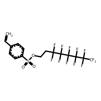 C=Cc1ccc(S(=O)(=O)OCCC(F)(F)C(F)(F)C(F)(F)C(F)(F)C(F)(F)C(F)(F)F)cc1